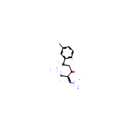 Cc1ccc(F)c([C@]2(C)CC(=O)/C(=C\N(C)C)C(=O)N2)c1